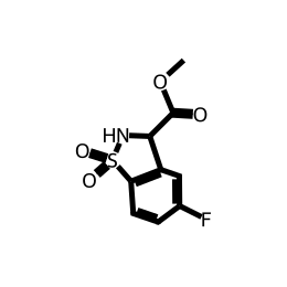 COC(=O)C1NS(=O)(=O)c2ccc(F)cc21